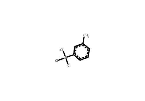 Cc1cccc([Si](Cl)(Cl)Cl)c1